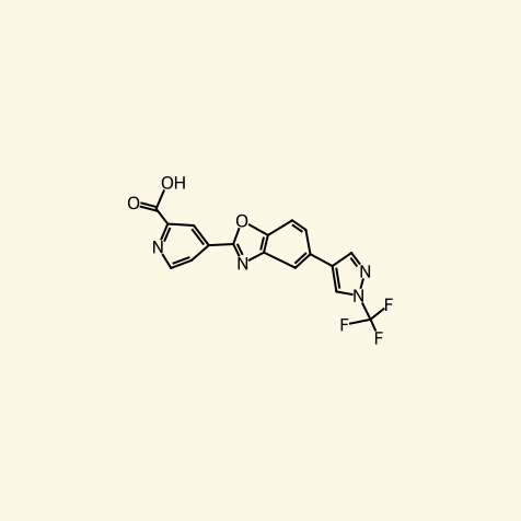 O=C(O)c1cc(-c2nc3cc(-c4cnn(C(F)(F)F)c4)ccc3o2)ccn1